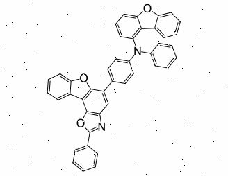 c1ccc(-c2nc3cc(-c4ccc(N(c5ccccc5)c5cccc6oc7ccccc7c56)cc4)c4oc5ccccc5c4c3o2)cc1